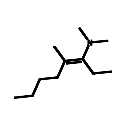 CCCC/C(C)=C(\CC)N(C)C